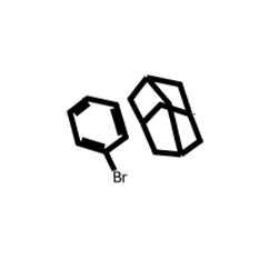 Brc1cc[c]cc1.C1[C]2CC3CC1CC(C2)C3